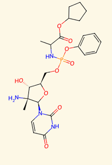 CC(NP(=O)(OC[C@H]1O[C@@H](n2ccc(=O)[nH]c2=O)[C@](C)(N)[C@@H]1O)Oc1ccccc1)C(=O)OC1CCCC1